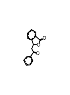 O=C(CC1OC(=O)c2ccccc21)c1ccccc1